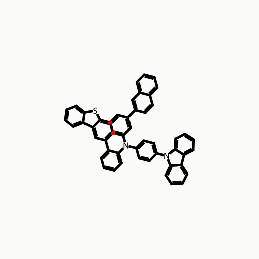 c1cc(-c2ccc3ccccc3c2)cc(N(c2ccc(-n3c4ccccc4c4ccccc43)cc2)c2ccccc2-c2ccc3sc4ccccc4c3c2)c1